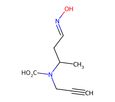 C#CCN(C(=O)O)C(C)CC=NO